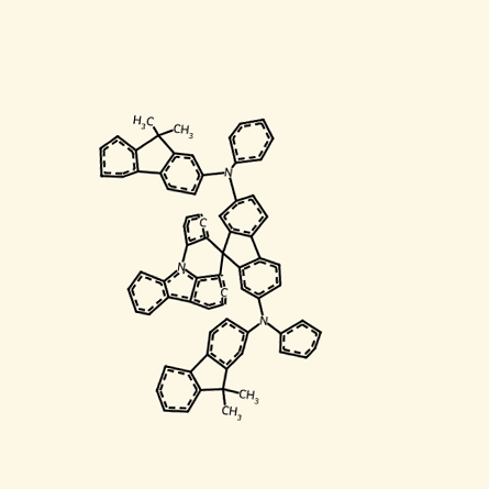 CC1(C)c2ccccc2-c2ccc(N(c3ccccc3)c3ccc4c(c3)C3(c5cc(N(c6ccccc6)c6ccc7c(c6)C(C)(C)c6ccccc6-7)ccc5-4)c4ccccc4-n4c5ccccc5c5cccc3c54)cc21